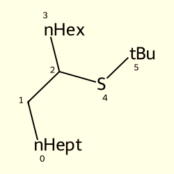 CCCCCCCCC(CCCCCC)SC(C)(C)C